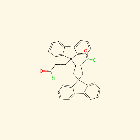 O=C(Cl)CCC1(CCC2(CCC(=O)Cl)c3ccccc3-c3ccccc32)c2ccccc2-c2ccccc21